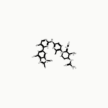 Cc1nc(Nc2ncc(F)c(-c3cc(F)c4nc(C)n(C(C)C)c4c3)n2)ccc1N1CCC(OC(N)=O)C(C(C)(C)C)C1=C=O